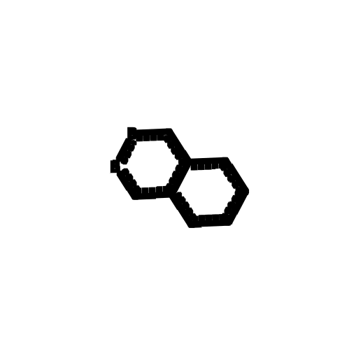 b1bcc2ccccc2c1